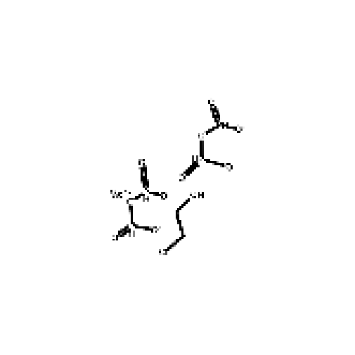 O=[PH]([O-])O[PH](=O)[O-].O=[PH]([O-])O[PH](=O)[O-].OCCCl.[Mo+4]